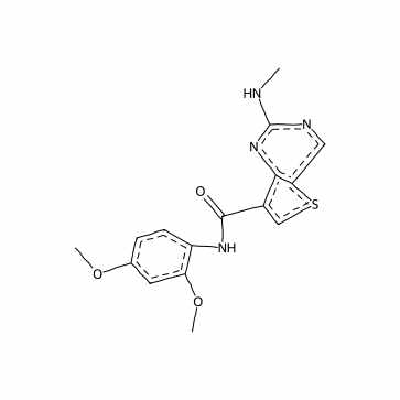 CNc1ncc2scc(C(=O)Nc3ccc(OC)cc3OC)c2n1